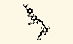 CCCNc1nc(Nc2cccc(OC(F)F)c2)ncc1C#CCCCNC(=O)[C@H](C)N(C)C(=O)/C=C/CN(C)C